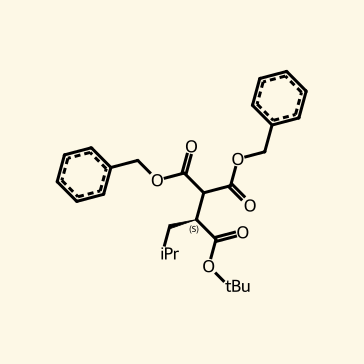 CC(C)C[C@H](C(=O)OC(C)(C)C)C(C(=O)OCc1ccccc1)C(=O)OCc1ccccc1